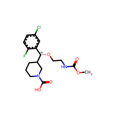 COC(=O)NCCO[C@@H](c1cc(Cl)ccc1F)C1CCCN(C(=O)O)C1